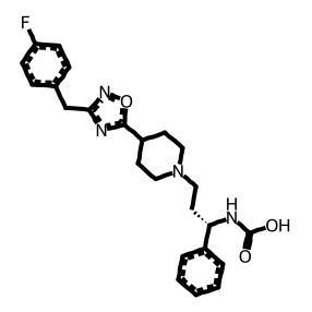 O=C(O)N[C@@H](CCN1CCC(c2nc(Cc3ccc(F)cc3)no2)CC1)c1ccccc1